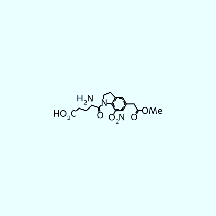 COC(=O)Cc1cc2c(c([N+](=O)[O-])c1)N(C(=O)[C@@H](N)CCC(=O)O)CC2